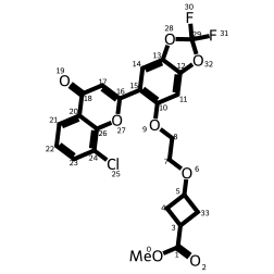 COC(=O)C1CC(OCCOc2cc3c(cc2-c2cc(=O)c4cccc(Cl)c4o2)OC(F)(F)O3)C1